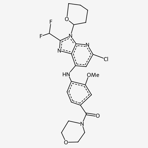 COc1cc(C(=O)N2CCOCC2)ccc1Nc1cc(Cl)nc2c1nc(C(F)F)n2C1CCCCO1